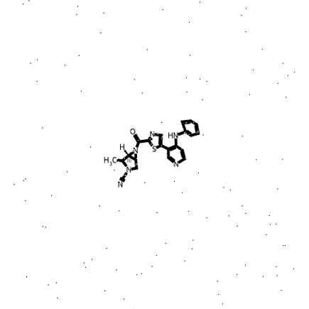 CC1[C@H]2C(CN1C#N)N2C(=O)c1ncc(-c2cnccc2Nc2ccccc2)s1